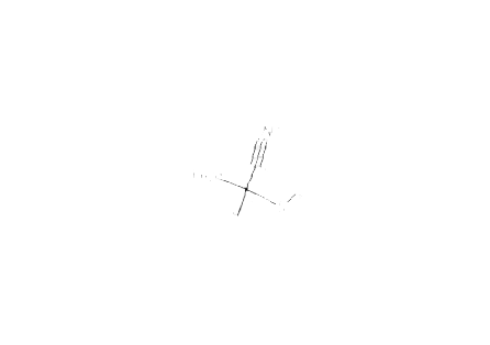 CSC(C)(O)C#N